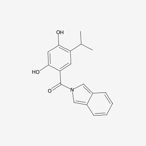 CC(C)c1cc(C(=O)n2cc3ccccc3c2)c(O)cc1O